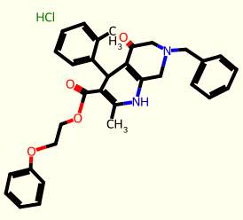 CC1=C(C(=O)OCCOc2ccccc2)C(c2ccccc2C)C2=C(CN(Cc3ccccc3)CC2=O)N1.Cl